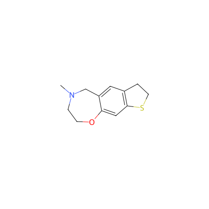 CN1CCOc2cc3c(cc2C1)CCS3